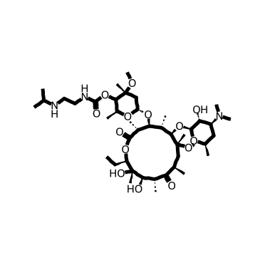 CC[C@H]1OC(=O)[C@H](C)[C@@H](O[C@H]2C[C@@](C)(OC)C(OC(=O)NCCNC(C)C)[C@H](C)O2)[C@H](C)[C@@H](O[C@@H]2O[C@H](C)C[C@H](N(C)C)[C@H]2O)[C@](C)(OC)C[C@@H](C)C(=O)[C@H](C)[C@@H](O)[C@]1(C)O